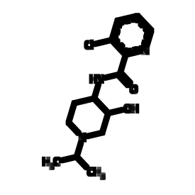 CC(C)N1CCC(NC(=O)c2ncccc2Cl)C(O)C1